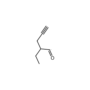 C#CCC([C]=O)CC